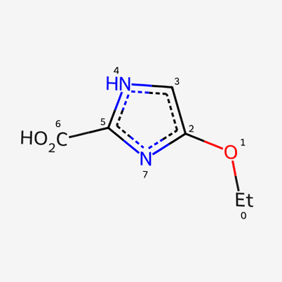 CCOc1c[nH]c(C(=O)O)n1